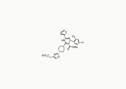 CCOC(=O)Cc1coc([C@H]2CC[C@H](C3=C(C(=O)OC)C(c4ccc(F)cc4Cl)N=C(c4nccs4)N3)CC2)n1